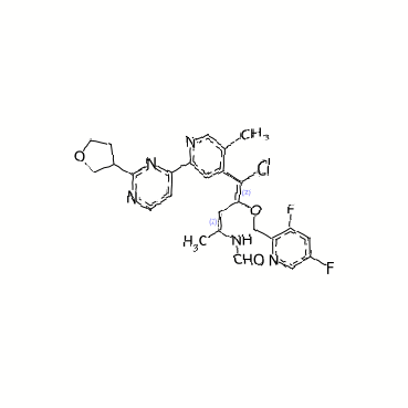 C/C(=C/C(OCc1ncc(F)cc1F)=C(/Cl)c1cc(-c2ccnc(C3CCOC3)n2)ncc1C)NC=O